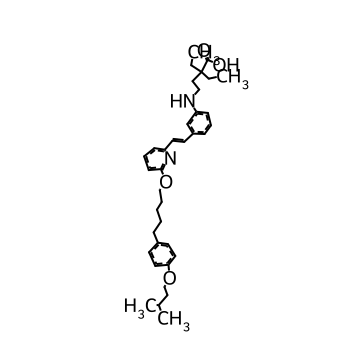 CCC(CC)(CCNc1cccc(C=Cc2cccc(OCCCCCc3ccc(OCCC(C)C)cc3)n2)c1)C(=O)O